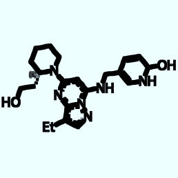 CCc1cnn2c(NCC3=CNC(O)C=C3)cc(N3CCCC[C@H]3CCO)nc12